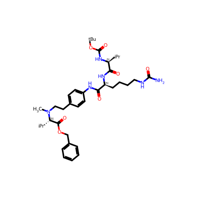 CC(C)[C@H](NC(=O)OC(C)(C)C)C(=O)N[C@@H](CCCCNC(N)=O)C(=O)Nc1ccc(CCN(C)[C@H](C(=O)OCc2ccccc2)C(C)C)cc1